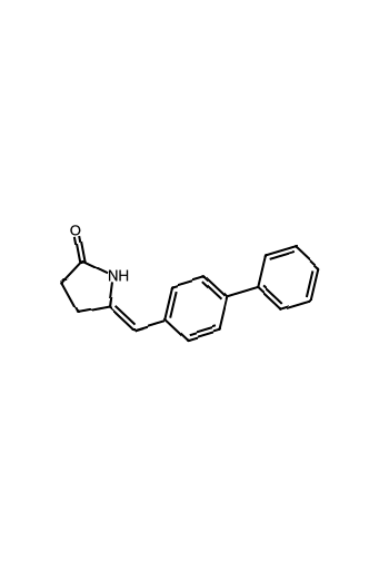 O=C1CCC(=Cc2ccc(-c3ccccc3)cc2)N1